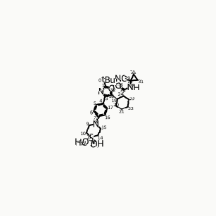 CC(C)(C)c1nc(-c2ccc(N3CCS(O)(O)CC3)cc2)c([C@@H]2CCCC[C@H]2C(=O)NC2(C#N)CC2)o1